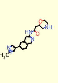 Cn1cc(-c2ccc3cnc(NC(=O)CC4CNCCO4)cc3c2)cn1